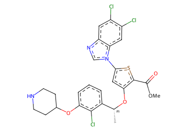 COC(=O)c1sc(-n2cnc3cc(Cl)c(Cl)cc32)cc1O[C@H](C)c1cccc(OC2CCNCC2)c1Cl